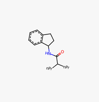 CCCC(CCC)C(=O)NC1CCc2ccccc21